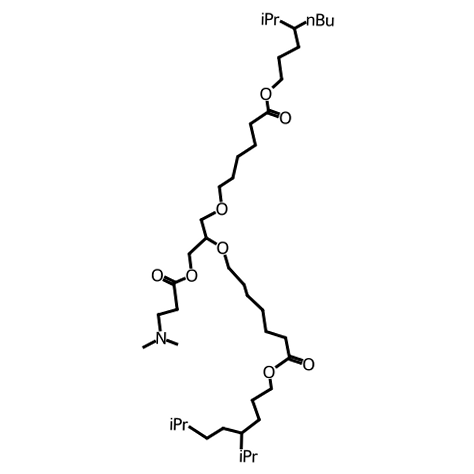 CCCCC(CCCOC(=O)CCCCCOCC(COC(=O)CCN(C)C)OCCCCCCC(=O)OCCCC(CCC(C)C)C(C)C)C(C)C